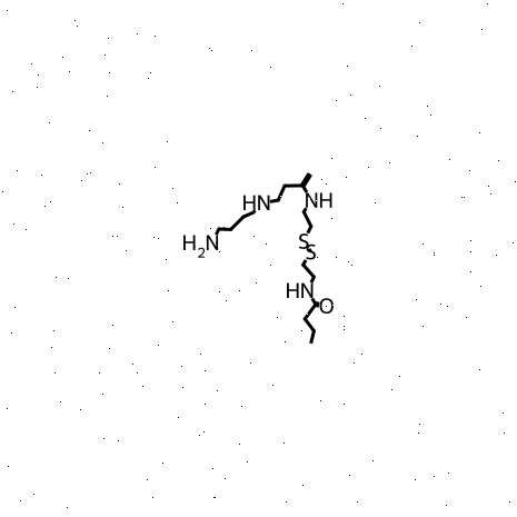 C=C(CCNCCCCN)NCCSSCCNC(=O)CCC